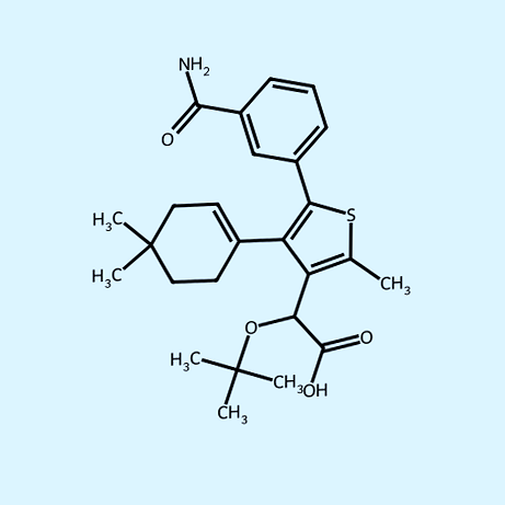 Cc1sc(-c2cccc(C(N)=O)c2)c(C2=CCC(C)(C)CC2)c1C(OC(C)(C)C)C(=O)O